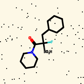 O=C(N1CCCCC1)C(F)(CC1CCCCC1)S(=O)(=O)O